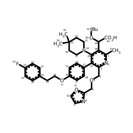 Cc1nc(COCc2ncco2)c(-c2ccc(OCCc3ccc(F)cc3)cc2)c(N2CCC(C)(C)CC2)c1C(OC(C)(C)C)C(=O)O